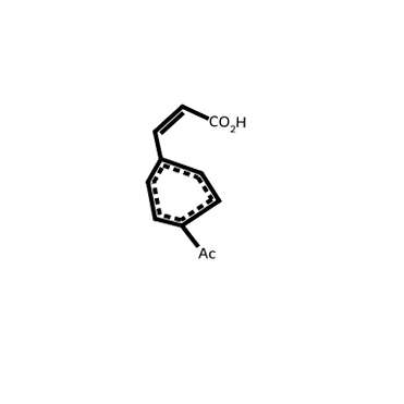 CC(=O)c1ccc(/C=C\C(=O)O)cc1